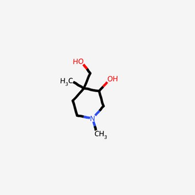 CN1CCC(C)(CO)C(O)C1